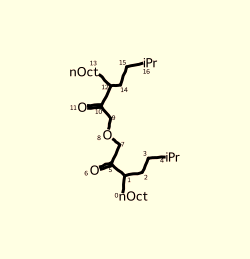 CCCCCCCCC(CCC(C)C)C(=O)COCC(=O)C(CCCCCCCC)CCC(C)C